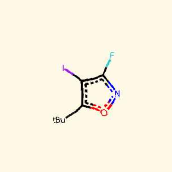 CC(C)(C)c1onc(F)c1I